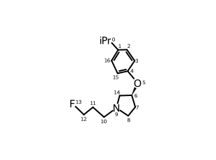 CC(C)c1ccc(O[C@H]2CCN(CCCF)C2)cc1